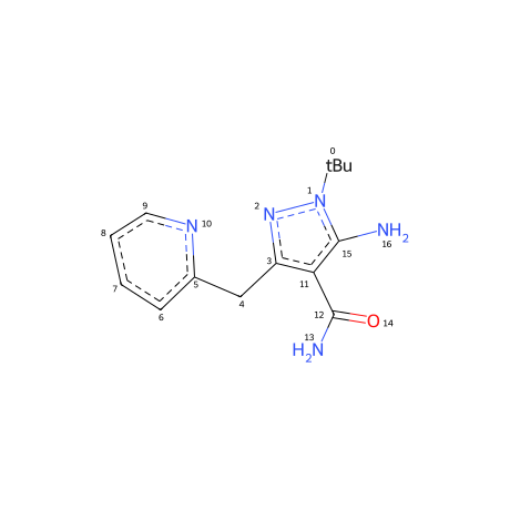 CC(C)(C)n1nc(Cc2ccccn2)c(C(N)=O)c1N